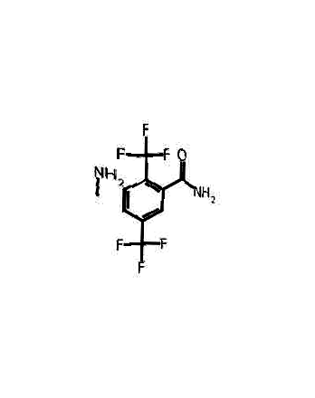 CN.NC(=O)c1cc(C(F)(F)F)ccc1C(F)(F)F